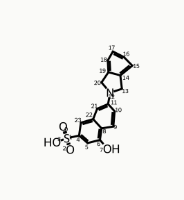 O=S(=O)(O)c1cc(O)c2ccc(N3Cc4ccccc4C3)cc2c1